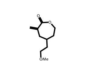 C=C1CC(CCOC)CCOC1=O